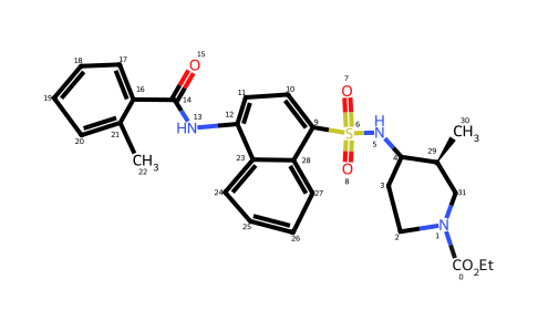 CCOC(=O)N1CCC(NS(=O)(=O)c2ccc(NC(=O)c3ccccc3C)c3ccccc23)[C@@H](C)C1